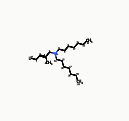 [Li][CH2]/C=C(\C)CN(CCCCCCC)CCCCCCC